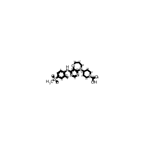 CS(=O)(=O)c1ccc(Nc2ncnc3c2OCCCN3C2CCN(C(=O)O)CC2)c(F)c1